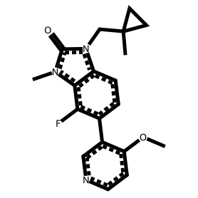 COc1ccncc1-c1ccc2c(c1F)n(C)c(=O)n2CC1(C)CC1